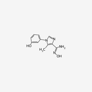 Cc1c(C(N)=NO)ncn1-c1cccc(O)c1